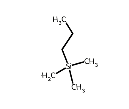 [CH2][Si](C)(C)CCC